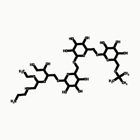 CCOC(CNCCN)OC(COC1OC(COC2OC(COC3OC(COC(C)(C)C)C(O)C(O)C3O)C(O)C(O)C2O)C(O)C(O)C1O)C(O)CO